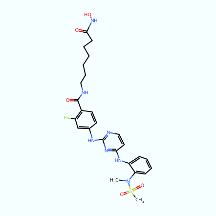 CN(c1ccccc1Nc1ccnc(Nc2ccc(C(=O)NCCCCCCC(=O)NO)c(F)c2)n1)S(C)(=O)=O